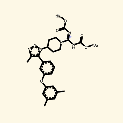 Cc1cc(C)cc(Oc2cccc(-c3c(C)nnn3C3CCN(/C(=N\C(=O)OC(C)(C)C)NC(=O)OC(C)(C)C)CC3)c2)c1